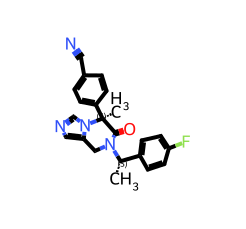 C[C@@H](c1ccc(F)cc1)N1Cc2cncn2[C@@](C)(c2ccc(C#N)cc2)C1=O